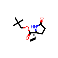 C=C[C@@]1(C(=O)OCC(C)(C)C)CCC(=O)N1